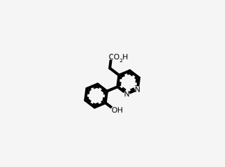 O=C(O)Cc1ccnnc1-c1ccccc1O